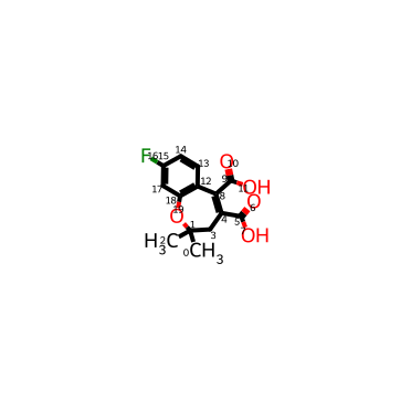 CC1(C)CC(C(=O)O)=C(C(=O)O)c2ccc(F)cc2O1